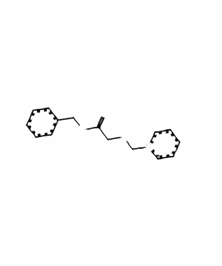 O=C(CBC[n+]1ccccc1)OCc1ccccc1